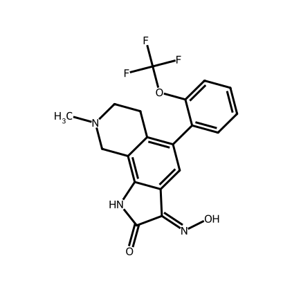 CN1CCc2c(-c3ccccc3OC(F)(F)F)cc3c(c2C1)NC(=O)/C3=N/O